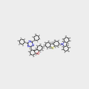 c1ccc(-c2nc(-c3ccccc3)nc(-c3cccc4oc5cc(-c6ccc7c(c6)sc6cc(-n8c9ccccc9c9ccccc98)ccc67)ccc5c34)n2)cc1